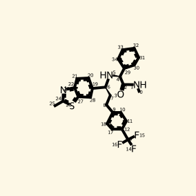 CNC(=O)[C@@H](N[C@@H](CCc1ccc(C(F)(F)F)cc1)c1ccc2nc(C)sc2c1)c1ccccc1